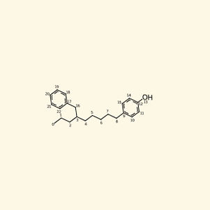 CCCC(CCCCCc1ccc(O)cc1)Cc1ccccc1